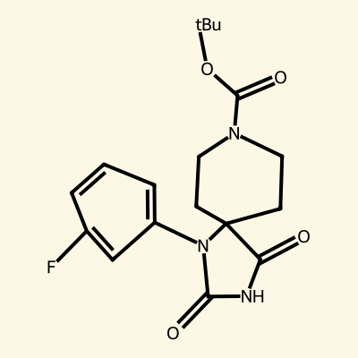 CC(C)(C)OC(=O)N1CCC2(CC1)C(=O)NC(=O)N2c1cccc(F)c1